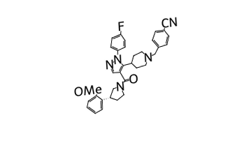 COc1ccccc1[C@H]1CCN(C(=O)c2cnn(-c3ccc(F)cc3)c2C2CCN(Cc3ccc(C#N)cc3)CC2)C1